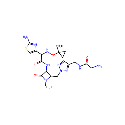 NCC(=O)NCc1cnn(C[C@@H]2[C@H](NC(=O)C(NOC3(C(=O)O)CC3)c3csc(N)n3)C(=O)N2S(=O)(=O)O)n1